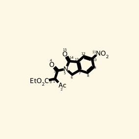 CCOC(=O)C(C(C)=O)C(=O)N1Cc2ccc([N+](=O)[O-])cc2C1=O